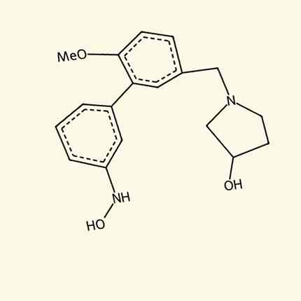 COc1ccc(CN2CCC(O)C2)cc1-c1cccc(NO)c1